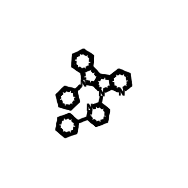 c1ccc(-c2cccc(-n3c4ncccc4c4c5ccccc5n(-c5ccccc5)c43)n2)cc1